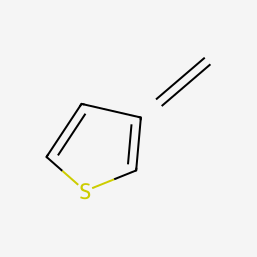 C=C.c1ccsc1